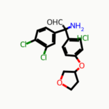 Cl.NC(C=O)(c1ccc(OC2CCOC2)cc1)c1ccc(Cl)c(Cl)c1